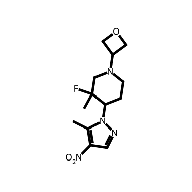 Cc1c([N+](=O)[O-])cnn1C1CCN(C2COC2)CC1(C)F